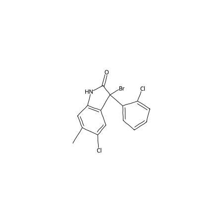 Cc1cc2c(cc1Cl)C(Br)(c1ccccc1Cl)C(=O)N2